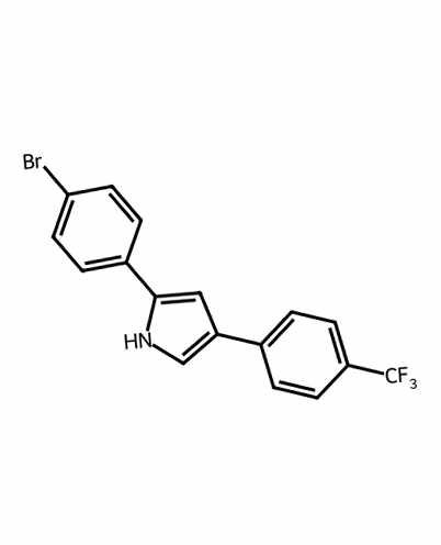 FC(F)(F)c1ccc(-c2c[nH]c(-c3ccc(Br)cc3)c2)cc1